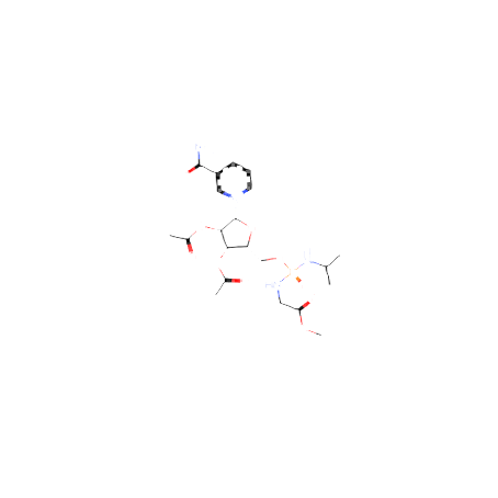 COC(=O)[C@H](C)NP(=O)(NC(C)C)OC[C@H]1O[C@@H]([n+]2cccc(C(N)=O)c2)[C@H](OC(C)=O)[C@@H]1OC(C)=O